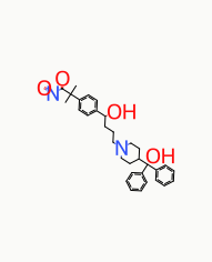 CC(C)(C(=O)N=O)c1ccc(C(O)CCCN2CCC(C(O)(c3ccccc3)c3ccccc3)CC2)cc1